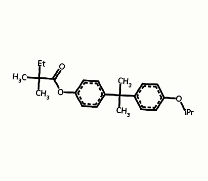 CCC(C)(C)C(=O)Oc1ccc(C(C)(C)c2ccc(OC(C)C)cc2)cc1